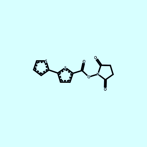 O=C(ON1C(=O)CCC1=O)c1ccc(-c2cccs2)s1